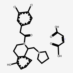 O=C(Cc1ccc(Cl)c(Cl)c1)N1CCc2c(O)cccc2C1CN1CCCC1.O=C(O)/C=C\C(=O)O